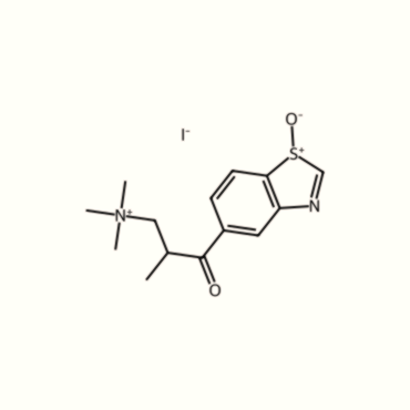 CC(C[N+](C)(C)C)C(=O)c1ccc2c(c1)nc[s+]2[O-].[I-]